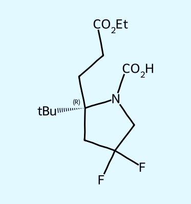 CCOC(=O)CC[C@]1(C(C)(C)C)CC(F)(F)CN1C(=O)O